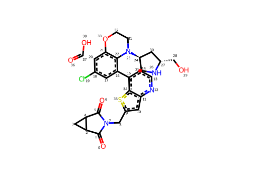 O=C1C2CC2C(=O)N1Cc1cc2nccc(-c3cc(Cl)cc4c3N([C@@H]3CN[C@@H](CO)C3)CCO4)c2s1.O=CO